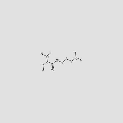 CCC(C(=O)OCCCC(C)C)C(C)C